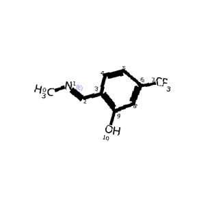 C/N=C/c1ccc(C(F)(F)F)cc1O